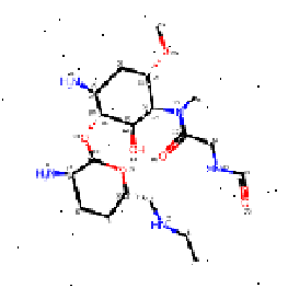 CCNC[C@@H]1CC[C@@H](N)[C@@H](O[C@H]2[C@H](O)[C@H](N(C)C(=O)CNC=O)[C@@H](OC)C[C@@H]2N)O1